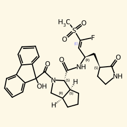 CS(=O)(=O)/C(F)=C/[C@@H](C[C@@H]1CCNC1=O)NC(=O)[C@@H]1[C@H]2CCC[C@H]2CN1C(=O)C1(O)c2ccccc2-c2ccccc21